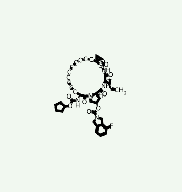 C=C[C@@H]1C[C@@]12NC(=O)[C@@H]1C[C@@H](OC(=O)N3Cc4cccc(F)c4C3)CN1C(=O)[C@@H](NC(=O)OC1CCCC1)CCCCCCCCCCC1(CC1)S(=O)(=O)NC2=O